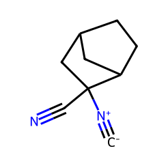 [C-]#[N+]C1(C#N)CC2CCC1C2